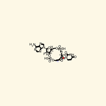 Nc1ncnc2c1ncn2[C@@H]1O[C@@H]2COP(=O)(S)O[C@@H]3[C@H](F)/C(=C\OP(=O)(S)O[C@H]2[C@H]1F)O[C@H]3n1ccc(=O)[nH]c1=O